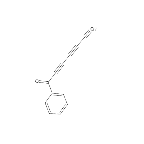 C#CC#CC#CC(=O)c1ccccc1